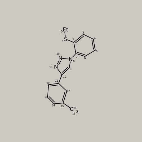 CCSc1ccccc1-n1cc(-c2cccc(C(F)(F)F)c2)nn1